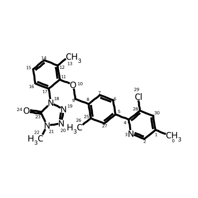 Cc1cnc(-c2ccc(COc3c(C)cccc3-n3nnn(C)c3=O)c(C)c2)c(Cl)c1